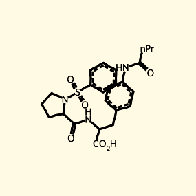 CCCC(=O)Nc1ccc(CC(NC(=O)C2CCCN2S(=O)(=O)c2ccccc2)C(=O)O)cc1